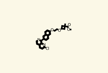 COC(=O)C1(C)CC(OCCOc2ccc3cc(-c4nccc5ccc(Cl)nc45)ccc3c2)C1